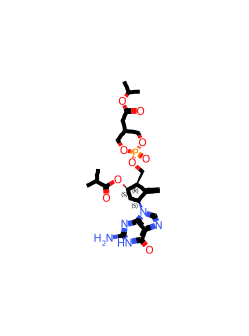 C=C1[C@H](COP2(=O)OCC(CC(=O)OC(C)C)CO2)[C@@H](OC(=O)C(C)C)C[C@@H]1n1cnc2c(=O)[nH]c(N)nc21